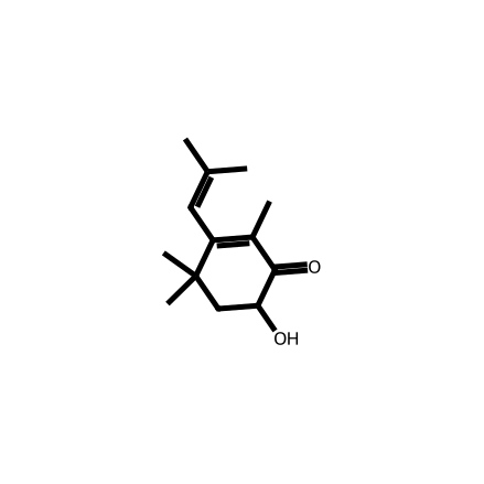 CC(C)=CC1=C(C)C(=O)C(O)CC1(C)C